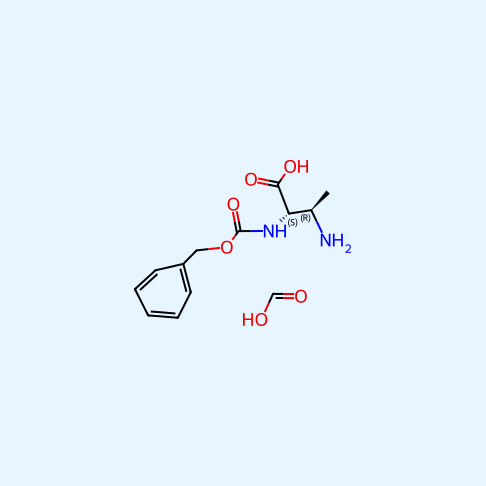 C[C@@H](N)[C@H](NC(=O)OCc1ccccc1)C(=O)O.O=CO